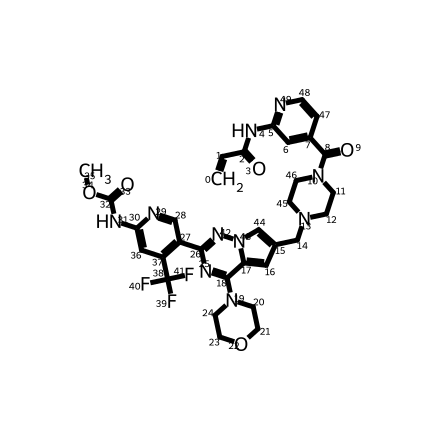 C=CC(=O)Nc1cc(C(=O)N2CCN(Cc3cc4c(N5CCOCC5)nc(-c5cnc(NC(=O)OC)cc5C(F)(F)F)nn4c3)CC2)ccn1